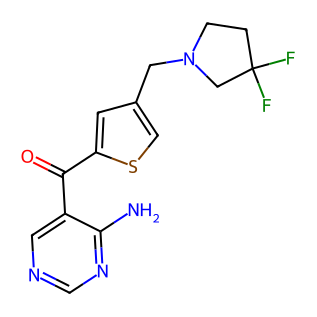 Nc1ncncc1C(=O)c1cc(CN2CCC(F)(F)C2)cs1